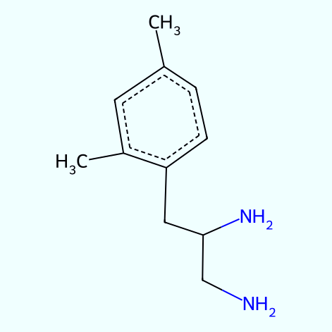 Cc1ccc(CC(N)CN)c(C)c1